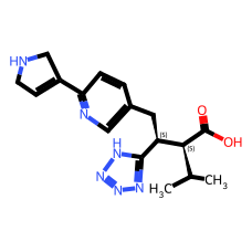 CC(C)[C@H](C(=O)O)[C@H](Cc1ccc(C2=CCNC2)nc1)c1nnn[nH]1